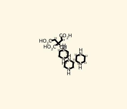 C1CNCCN1.C1CNCCN1.C1CNCCN1.O=C(O)CC(O)(CC(=O)O)C(=O)O